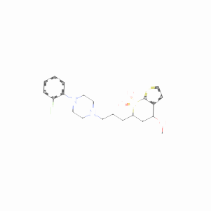 COC1CC(CCCN2CCN(c3ccccc3F)CC2)S(=O)(=O)c2sccc21